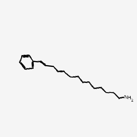 NCCCCCCCCCCCCC=Cc1ccccc1